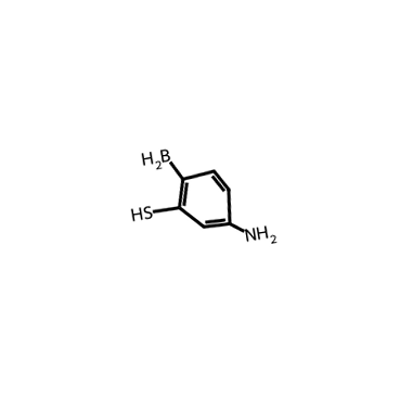 Bc1ccc(N)cc1S